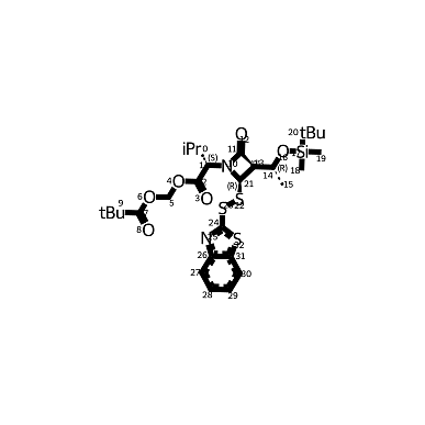 CC(C)[C@@H](C(=O)OCOC(=O)C(C)(C)C)N1C(=O)[C@@H]([C@@H](C)O[Si](C)(C)C(C)(C)C)[C@H]1SSc1nc2ccccc2s1